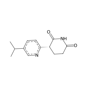 CC(C)c1ccc([C@H]2CCC(=O)NC2=O)nc1